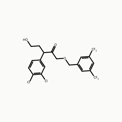 O=C(COCc1cc(C(F)(F)F)cc(C(F)(F)F)c1)C(CCO)c1ccc(Cl)c(Cl)c1